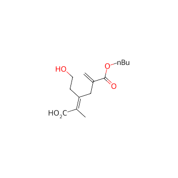 C=C(CC(CCO)=C(C)C(=O)O)C(=O)OCCCC